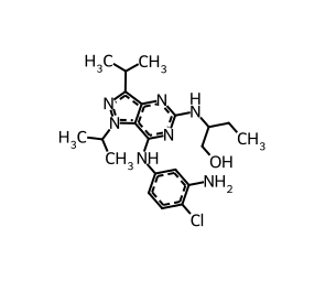 CCC(CO)Nc1nc(Nc2ccc(Cl)c(N)c2)c2c(n1)c(C(C)C)nn2C(C)C